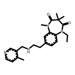 CCN1C(=O)C(C)(C)C(=O)N(C)c2cc(CCNCc3cnccc3C)ccc21